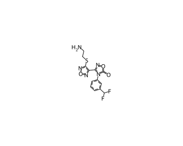 NCCSc1nonc1-c1noc(=O)n1-c1cccc(C(F)F)c1